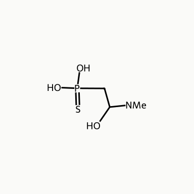 CNC(O)CP(O)(O)=S